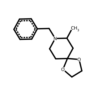 CC1CC2(CCN1Cc1ccccc1)OCCO2